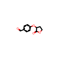 O=Cc1ccc(OC2CCOC2=O)cc1